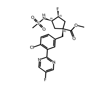 COC(=O)[C@@]1(Cc2ccc(Cl)c(-c3ncc(F)cn3)c2)C[C@H](F)[C@H](NS(C)(=O)=O)C1